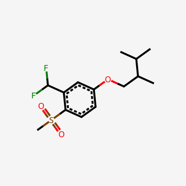 CC(C)C(C)COc1ccc(S(C)(=O)=O)c(C(F)F)c1